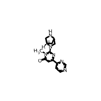 Cn1c(N2CC3C[C@H]2CN3)nc(-c2ccncn2)cc1=O